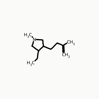 C=C(C)CCC1CN(C)CC1CC